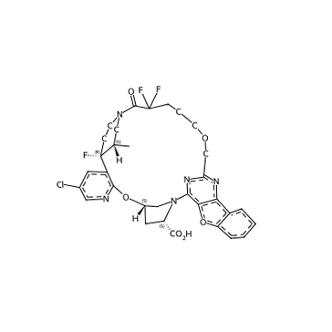 C[C@H]1CN2CC[C@]1(F)c1cc(Cl)cnc1O[C@H]1C[C@@H](C(=O)O)N(C1)c1nc(nc3c1oc1ccccc13)COCCCC(F)(F)C2=O